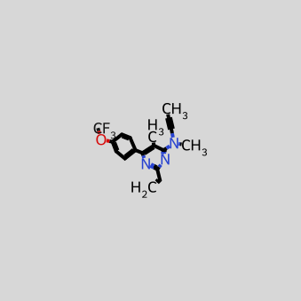 C=Cc1nc(-c2ccc(OC(F)(F)F)cc2)c(C)c(N(C)C#CC)n1